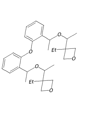 CCC1(C(C)OC(C)c2ccccc2Oc2ccccc2C(C)OC(C)C2(CC)COC2)COC1